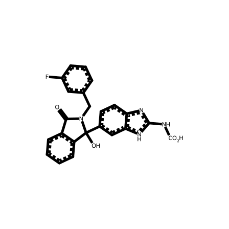 O=C(O)Nc1nc2ccc(C3(O)c4ccccc4C(=O)N3Cc3cccc(F)c3)cc2[nH]1